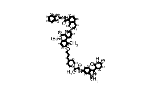 Cc1c(OCCCC2CCN(C(C)C(=O)Nc3ccc4c(C5CCC(=O)NC5=O)nn(C)c4c3)CC2)cccc1-c1ccc(N2CCc3cccc(C(=O)Nc4nc5ccccc5s4)c3C2)nc1C(=O)OC(C)(C)C